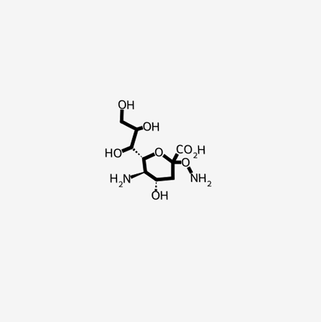 NOC1(C(=O)O)C[C@H](O)[C@@H](N)[C@H](C(O)C(O)CO)O1